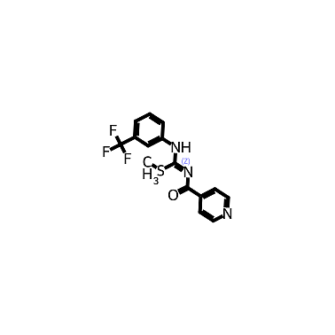 CS/C(=N\C(=O)c1ccncc1)Nc1cccc(C(F)(F)F)c1